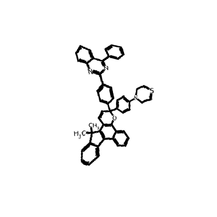 CC1(C)c2ccccc2-c2c1c1c(c3ccccc23)OC(c2ccc(-c3nc(-c4ccccc4)c4ccccc4n3)cc2)(c2ccc(N3CCSCC3)cc2)C=C1